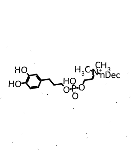 CCCCCCCCCC[N+](C)(C)CCOP(=O)(O)OCCCc1ccc(O)c(O)c1